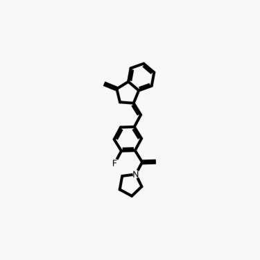 C=C1C/C(=C\c2ccc(F)c(C(=C)N3CCCC3)c2)c2ccccc21